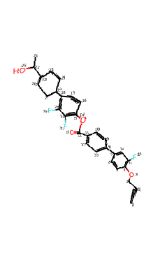 C=CCOc1ccc(-c2ccc(C(=O)Oc3ccc(C4CCC(C(C)O)CC4)c(F)c3F)cc2)cc1F